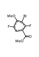 COC(=O)c1cc(F)c(OC)c(Br)c1F